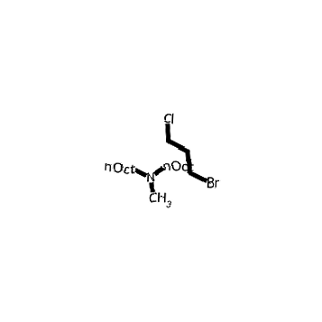 CCCCCCCCN(C)CCCCCCCC.ClCCCBr